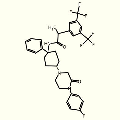 CC(C(=O)N[C@]1(c2ccccc2)CC[C@@H](N2CCN(c3ccc(F)cc3)C(=O)C2)CC1)c1cc(C(F)(F)F)cc(C(F)(F)F)c1